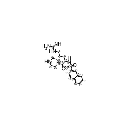 N=C(N)NCCCC(NS(=O)(=O)c1ccc2ccccc2c1)C(=O)N1CCNCC1